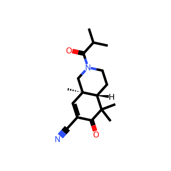 CC(C)C(=O)N1CC[C@@H]2C(C)(C)C(=O)C(C#N)=C[C@@]2(C)C1